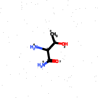 CC(O)C(N)C(N)=O